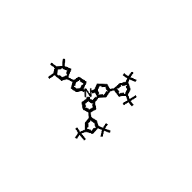 Cc1cc(-c2ccc(-n3c4ccc(-c5cc(C(C)(C)C)cc(C(C)(C)C)c5)cc4c4cc(-c5cc(C(C)(C)C)cc(C(C)(C)C)c5)ccc43)cc2)cc(C)c1C